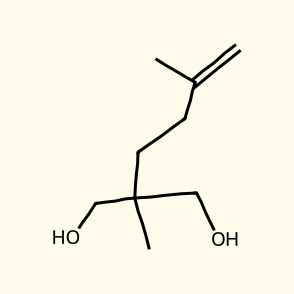 C=C(C)CCC(C)(CO)CO